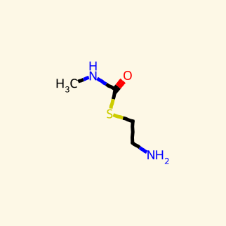 CNC(=O)SCCN